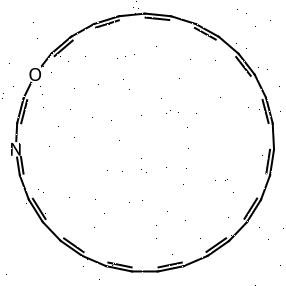 C1=CC=CC=CC=CC=CC=CC=COC=CN=CC=CC=CC=CC=CC=CC=C1